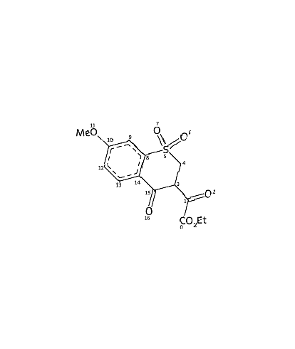 CCOC(=O)C(=O)C1CS(=O)(=O)c2cc(OC)ccc2C1=O